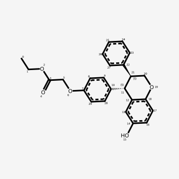 CCOC(=O)COc1ccc([C@H]2c3cc(O)ccc3OC[C@@H]2c2ccccc2)cc1